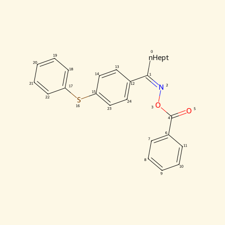 CCCCCCCC(=NOC(=O)c1ccccc1)c1ccc(Sc2ccccc2)cc1